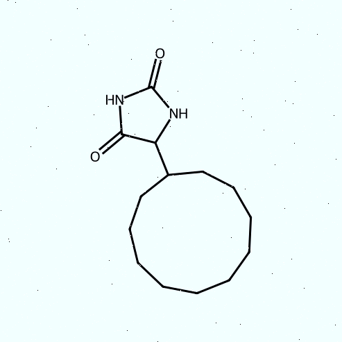 O=C1NC(=O)C(C2CCCCCCCCCC2)N1